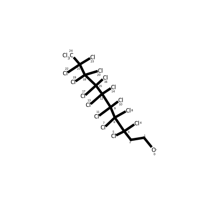 [O]CCC(Cl)(Cl)C(Cl)(Cl)C(Cl)(Cl)C(Cl)(Cl)C(Cl)(Cl)C(Cl)(Cl)C(Cl)(Cl)C(Cl)(Cl)Cl